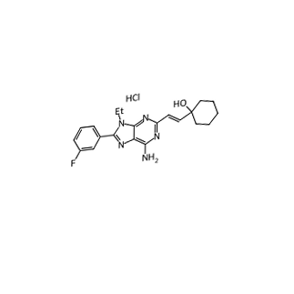 CCn1c(-c2cccc(F)c2)nc2c(N)nc(C=CC3(O)CCCCC3)nc21.Cl